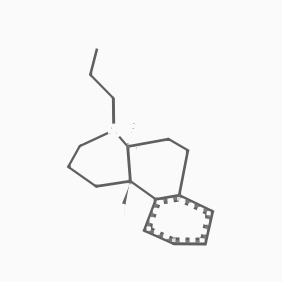 CCCN1CCC[C@H]2c3ccccc3CC[C@@H]21